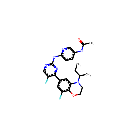 CCC(C)N1CCOc2c(F)cc(-c3nc(Nc4ccc(NC(C)=O)cn4)ncc3F)cc21